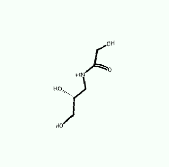 O=C(CO)NC[C@@H](O)CO